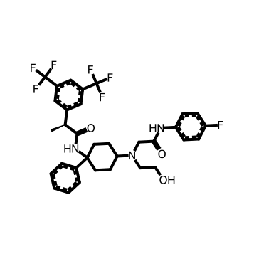 C[C@H](C(=O)NC1(c2ccccc2)CCC(N(CCO)CC(=O)Nc2ccc(F)cc2)CC1)c1cc(C(F)(F)F)cc(C(F)(F)F)c1